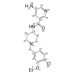 CCOc1cc(CN2CCC(NC(=O)c3cncc(N)c3)CC2)ccc1Cl